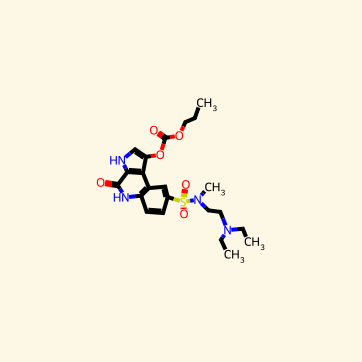 CCCOC(=O)Oc1c[nH]c2c(=O)[nH]c3ccc(S(=O)(=O)N(C)CCN(CC)CC)cc3c12